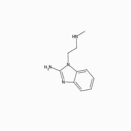 CNCCn1c(N)nc2ccccc21